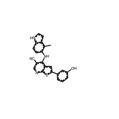 Cc1c(Nc2c(C#N)cnc3sc(-c4cccc(O)c4)cc23)ccc2[nH]ccc12